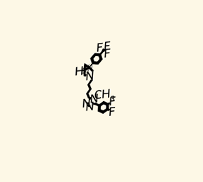 Cn1c(CCCCN2C[C@@H]3C[C@]3(c3ccc(C(F)(F)F)cc3)C2)nnc1-c1ccc(F)c(F)c1